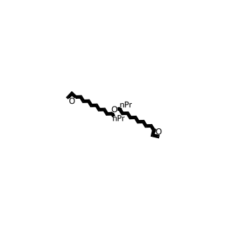 CCCC(CCCCCCCCC1CCO1)OC(CCC)CCCCCCCCC1CCO1